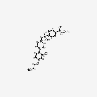 CCCCOC(=O)c1ccc([C@@](O)(I)CN2CCN(c3ccc(OCCO)cc3Cl)CC2)nc1